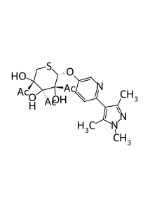 CC(=O)[C@]1(O)[C@@](O)(C(C)=O)CS[C@H](Oc2ccc(-c3c(C)nn(C)c3C)nc2)[C@@]1(O)C(C)=O